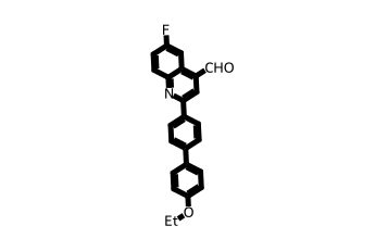 CCOc1ccc(-c2ccc(-c3cc(C=O)c4cc(F)ccc4n3)cc2)cc1